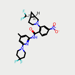 Cc1cc(NC(=O)c2ccc([N+](=O)[O-])cc2N2CC[C@@]3(C(F)F)C[C@H]3C2)nc(N2CCC(F)(F)CC2)c1